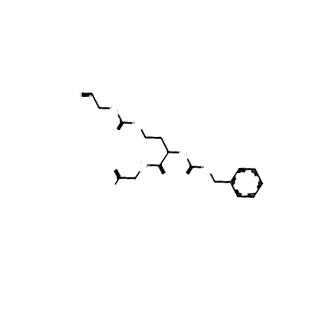 O=CCNC(=O)OCCC(NC(=O)OCc1ccccc1)C(=O)NCC(=O)O